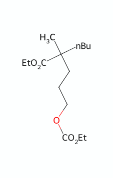 CCCCC(C)(CCCOC(=O)OCC)C(=O)OCC